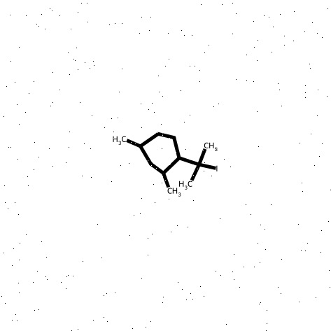 CC1CCC(C(C)(C)I)C(C)C1